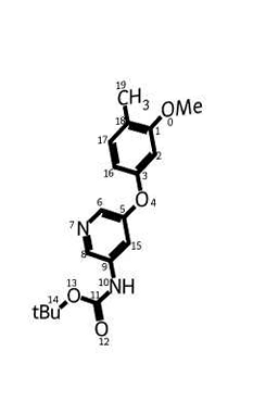 COc1cc(Oc2cncc(NC(=O)OC(C)(C)C)c2)ccc1C